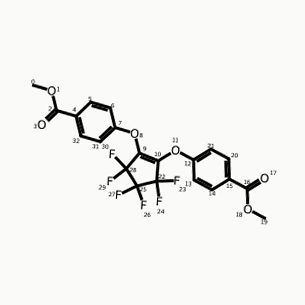 COC(=O)c1ccc(OC2=C(Oc3ccc(C(=O)OC)cc3)C(F)(F)C(F)(F)C2(F)F)cc1